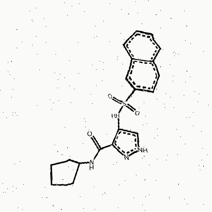 O=C(NC1CCCC1)c1n[nH]cc1NS(=O)(=O)c1ccc2ccccc2c1